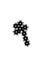 c1ccc(-c2ccc(-c3ccc(-n4c5ccccc5c5c6c7ccccc7c7ccccc7c6c6c7ccccc7sc6c54)cc3)cc2)cc1